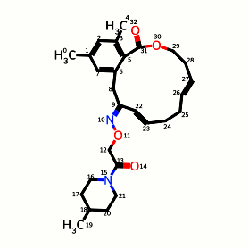 Cc1cc(C)c2c(c1)CC(=N/OCC(=O)N1CCC(C)CC1)/C=C/CC/C=C/CCOC2=O